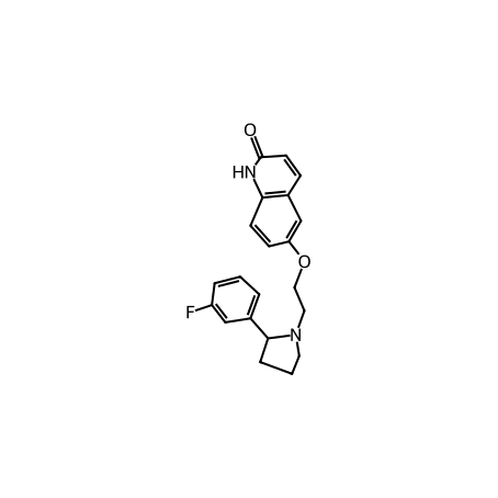 O=c1ccc2cc(OCCN3CCCC3c3cccc(F)c3)ccc2[nH]1